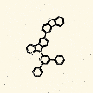 C1=CC(c2cc(-c3ccccc3)cc(-n3c4ccc(-c5ccc6oc7ccccc7c6c5)cc4c4cccnc43)n2)=CCC1